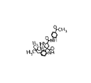 CC(=O)c1ccc(NC(=O)C2CC3(CN2)C(=O)Nc2ccc(CC(C)(C)C)cc23)cc1